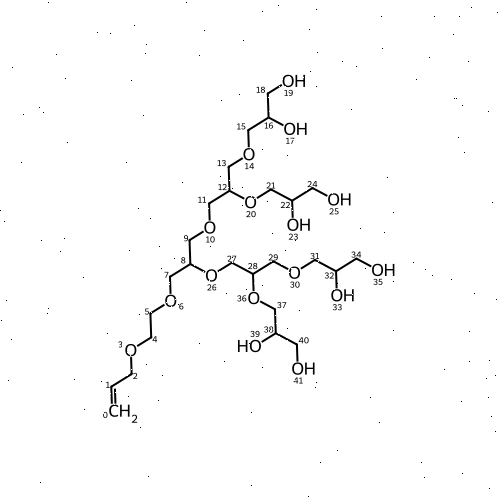 C=CCOCCOCC(COCC(COCC(O)CO)OCC(O)CO)OCC(COCC(O)CO)OCC(O)CO